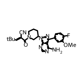 COc1cc(-c2nn([C@@H]3CCCN(C(=O)/C(C#N)=C/C(C)(C)C)C3)c3ncnc(N)c23)ccc1F